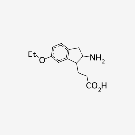 CCOc1ccc2c(c1)C(CCC(=O)O)C(N)C2